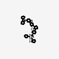 c1ccc(C2=NC(c3ccc4c(c3)oc3c(-c5ccc6c(c5)oc5ccc(-n7c8ccccc8c8ccccc87)cc56)cccc34)=NC(c3ccccc3)N2)cc1